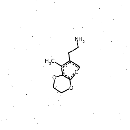 Cc1c(CCN)ccc2c1OCCO2